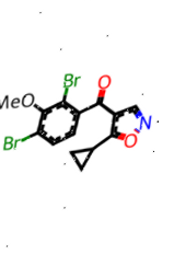 COc1c(Br)ccc(C(=O)c2cnoc2C2CC2)c1Br